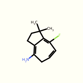 CC1(C)CCC2=C(N)CC=CC(F)=C21